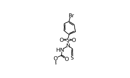 COC(=O)NN(C=S)S(=O)(=O)c1ccc(Br)cc1